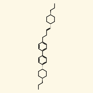 CCC[C@H]1CC[C@H](C=CCCc2ccc(-c3ccc([C@H]4CC[C@H](CCC)CC4)cc3)cc2)CC1